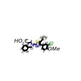 COc1ccc(-c2nc(N(CCC(=O)O)Cc3ccccc3)sc2CC(C)C)cc1Cl